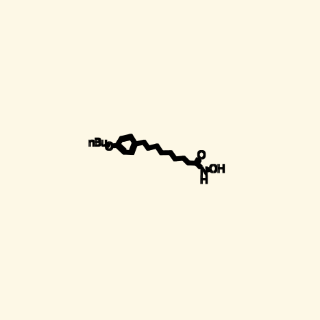 CCCCOc1ccc(CCCCCCCCC(=O)NO)cc1